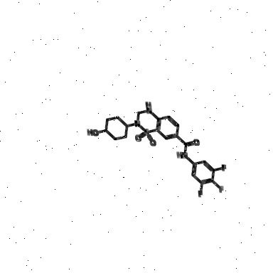 O=C(Nc1cc(F)c(F)c(F)c1)c1ccc2c(c1)S(=O)(=O)N(C1CCC(O)CC1)CN2